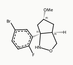 CO[C@@H]1C[C@H]2CON[C@@]2(c2cc(Br)ccc2F)C1